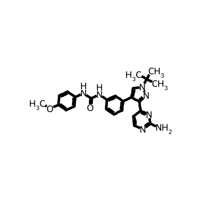 COc1ccc(NC(=O)Nc2cccc(-c3cn(C(C)(C)C)nc3-c3ccnc(N)n3)c2)cc1